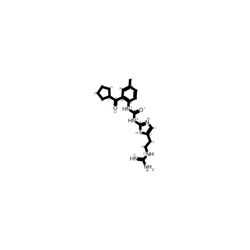 Cc1ccc(NC(=O)Nc2ncc(CCNC(=N)N)s2)c(C(=O)C2CCCC2)c1